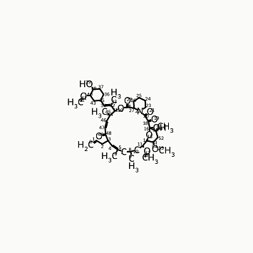 C=CCC1C=C(C)CC(C)CC(OC)C2OC(O)(C(=O)C(=O)N3CCCCC3C(=O)OC(C(C)=CC3CCC(O)C(OC)C3)C(C)C=CC1=O)C(C)CC2OC